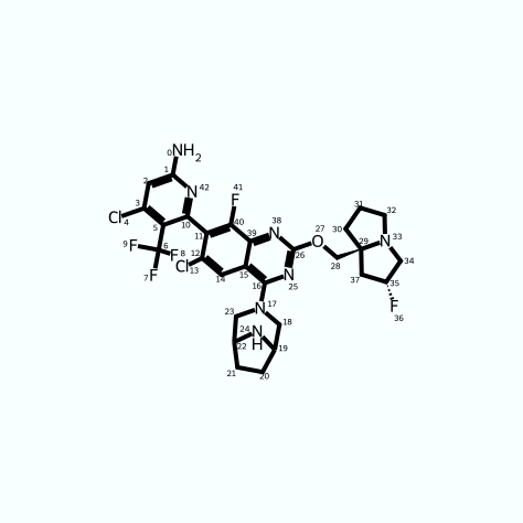 Nc1cc(Cl)c(C(F)(F)F)c(-c2c(Cl)cc3c(N4CC5CCC(C4)N5)nc(OC[C@@]45CCCN4C[C@H](F)C5)nc3c2F)n1